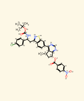 C[C@@H]1C[C@@H](OC(=O)c2ccc([N+](=O)[O-])cc2)c2ncnc(-c3ccc4c(CC(NC(=O)OC(C)(C)C)c5ccc(Cl)cc5)nsc4c3)c21